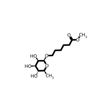 COC(=O)CCCCCO[C@H]1O[C@@H](C)[C@H](O)[C@@H](O)[C@H]1O